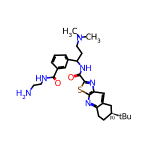 CN(C)CCC(NC(=O)c1nc2cc3c(nc2s1)CC[C@H](C(C)(C)C)C3)c1cccc(C(=O)NCCN)c1